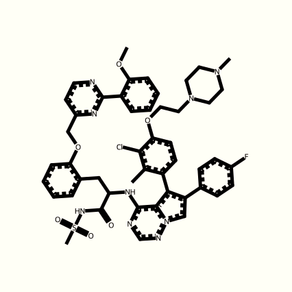 COc1ccccc1-c1nccc(COc2ccccc2CC(Nc2ncnn3cc(-c4ccc(F)cc4)c(-c4ccc(OCCN5CCN(C)CC5)c(Cl)c4C)c23)C(=O)NS(C)(=O)=O)n1